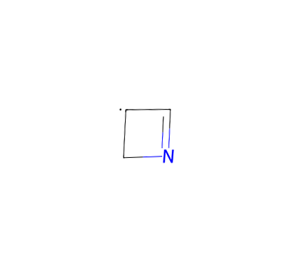 [CH]1C=NC1